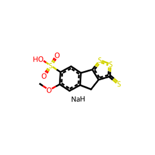 COc1cc2c(cc1S(=O)(=O)O)-c1ssc(=S)c1C2.[NaH]